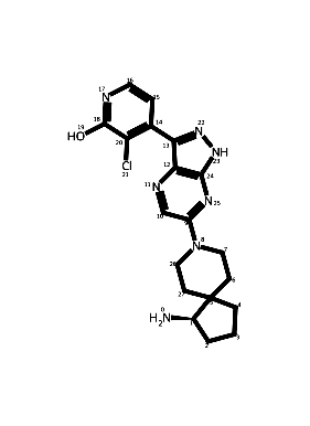 N[C@@H]1CCCC12CCN(c1cnc3c(-c4ccnc(O)c4Cl)n[nH]c3n1)CC2